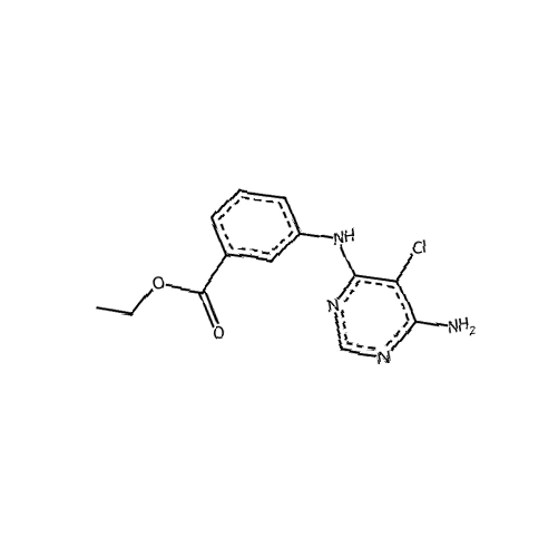 CCOC(=O)c1cccc(Nc2ncnc(N)c2Cl)c1